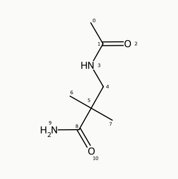 CC(=O)NCC(C)(C)C(N)=O